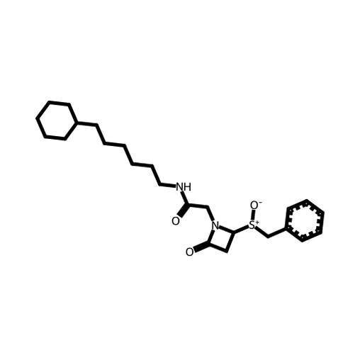 O=C(CN1C(=O)CC1[S+]([O-])Cc1ccccc1)NCCCCCCC1CCCCC1